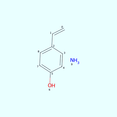 C=Cc1ccc(O)cc1.N